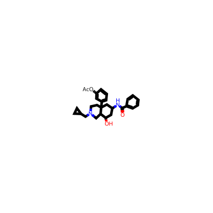 CC(=O)Oc1cccc(C23CCN(CC4CC4)CC2C(O)CC(NC(=O)c2ccccc2)C3)c1